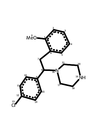 COc1ccccc1CC(c1ccc(Cl)cc1)N1CCNCC1